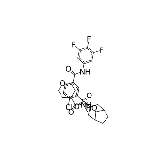 O=C(Nc1cc(F)c(F)c(F)c1)c1ccc(Cl)c(S(=O)(=O)[C@H]2CC3CCC(C2)[C@]3(O)CNC(=O)C2CCOCC2)c1